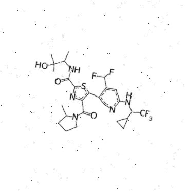 CC1CCCN1C(=O)c1nc(C(=O)NC(C)C(C)(C)O)sc1-c1cnc(NC(C2CC2)C(F)(F)F)cc1C(F)F